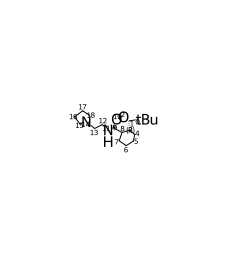 CC(C)(C)C(=O)[C@@H]1CCCCC1C(=O)NCCN1CCCC1